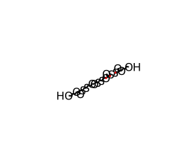 O=C(CSCSCCOOCSCSCOC(=O)CSCSCC(=O)OCCCO)OCCCO